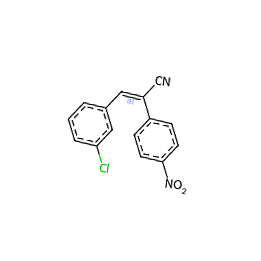 N#C/C(=C/c1cccc(Cl)c1)c1ccc([N+](=O)[O-])cc1